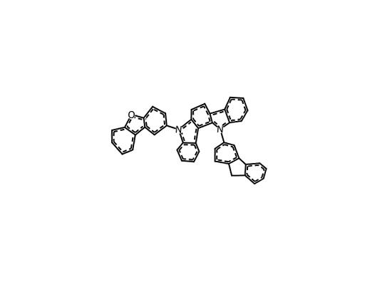 c1ccc2c(c1)Cc1ccc(-n3c4ccccc4c4ccc5c(c6ccccc6n5-c5ccc6oc7ccccc7c6c5)c43)cc1-2